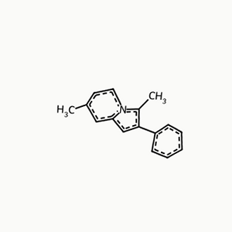 Cc1ccn2c(C)c(-c3ccccc3)cc2c1